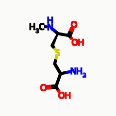 CN[C@H](CSCC(N)C(=O)O)C(=O)O